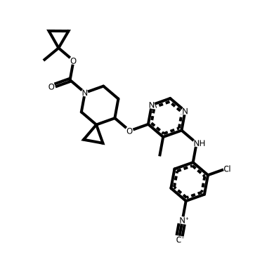 [C-]#[N+]c1ccc(Nc2ncnc(OC3CCN(C(=O)OC4(C)CC4)CC34CC4)c2C)c(Cl)c1